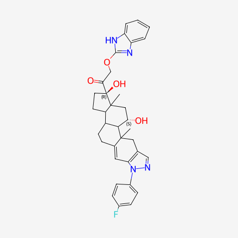 CC12Cc3cnn(-c4ccc(F)cc4)c3C=C1CCC1C2[C@@H](O)CC2(C)C1CC[C@]2(O)C(=O)COc1nc2ccccc2[nH]1